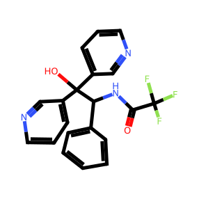 O=C(NC(c1ccccc1)C(O)(c1cccnc1)c1cccnc1)C(F)(F)F